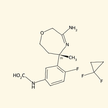 C[C@@]1(c2cc(NC(=O)O)ccc2F)CCOCC(N)=N1.FC1(F)CC1